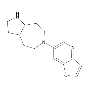 c1cc2ncc(N3CCC4CCNC4CC3)cc2o1